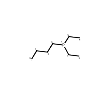 [CH2]CCCP(CC)CC